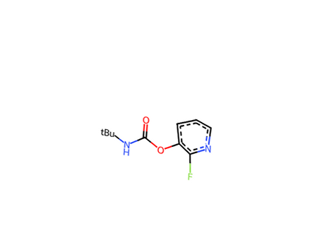 CC(C)(C)NC(=O)Oc1cccnc1F